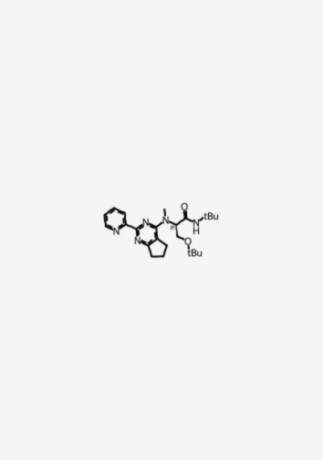 CN(c1nc(-c2ccccn2)nc2c1CCC2)[C@H](COC(C)(C)C)C(=O)NC(C)(C)C